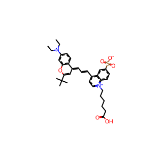 CCN(CC)c1ccc2c(c1)OC(C(C)(C)C)=CC2=CC=Cc1cc[n+](CCCCCC(=O)O)c2ccc(S(=O)(=O)[O-])cc12